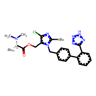 CCCCc1nc(Cl)c(COC(=O)[C@H]([C@@H](C)CC)N(C)C)n1Cc1ccc(-c2ccccc2-c2nn[nH]n2)cc1